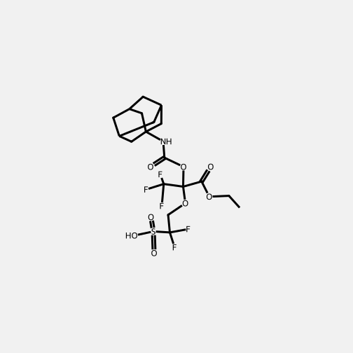 CCOC(=O)C(OCC(F)(F)S(=O)(=O)O)(OC(=O)NC12CC3CC(CC(C3)C1)C2)C(F)(F)F